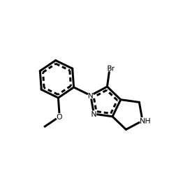 COc1ccccc1-n1nc2c(c1Br)CNC2